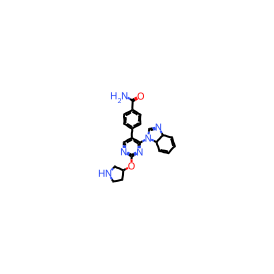 NC(=O)c1ccc(-c2cnc(OC3CCNC3)nc2N2C=NC3C=CC=CC32)cc1